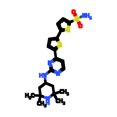 CC1(C)CC(Nc2nccc(-c3ccc(-c4ccc(S(N)(=O)=O)s4)s3)n2)CC(C)(C)N1